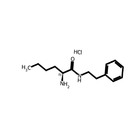 CCCC[C@H](N)C(=O)NCCc1ccccc1.Cl